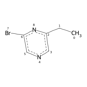 CCc1cncc(Br)n1